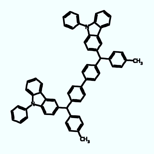 Cc1ccc(C(c2ccc(-c3ccc(C(c4ccc(C)cc4)c4ccc5c(c4)c4ccccc4n5-c4ccccc4)cc3)cc2)c2ccc3c(c2)c2ccccc2n3-c2ccccc2)cc1